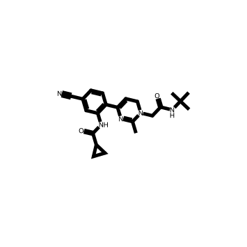 CC1=NC(c2ccc(C#N)cc2NC(=O)C2CC2)=CCN1CC(=O)NC(C)(C)C